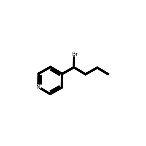 CCCC(Br)c1ccncc1